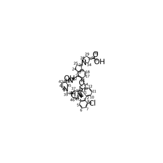 CC1C(c2ccccc2Cl)=CC=CC1(COc1ccc2c(c1C#N)CC[C@H]2N1CC[C@@H](C(=O)O)C1)Sc1cc(CN2CC[C@@H](O)C2)ccn1